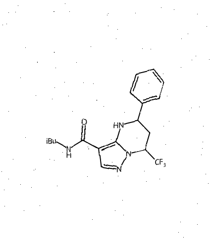 CCC(C)NC(=O)c1cnn2c1NC(c1ccccc1)CC2C(F)(F)F